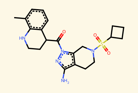 Cc1cccc2c1NCCC2C(=O)n1nc(N)c2c1CN(S(=O)(=O)C1CCC1)CC2